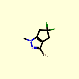 Cn1nc(C(F)(F)F)c2c1CC(F)(F)C2